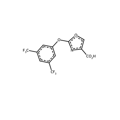 O=C(O)c1coc(Oc2cc(C(F)(F)F)cc(C(F)(F)F)c2)n1